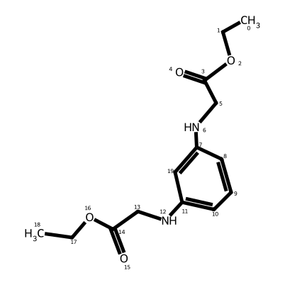 CCOC(=O)CNc1cccc(NCC(=O)OCC)c1